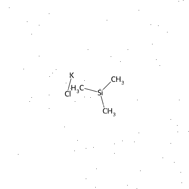 C[Si](C)C.[Cl][K]